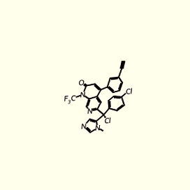 C#Cc1cccc(-c2cc(=O)n(C(F)(F)F)c3cnc([C@](Cl)(c4ccc(Cl)cc4)c4cncn4C)cc23)c1